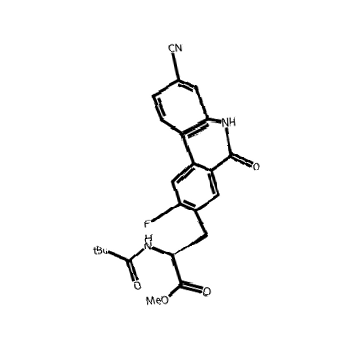 COC(=O)[C@H](Cc1cc2c(=O)[nH]c3cc(C#N)ccc3c2cc1F)NC(=O)C(C)(C)C